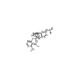 COc1ccnc(C[S+]([O-])C2(O)Nc3ccc(OC(F)F)cc3N2)c1OC.[NaH]